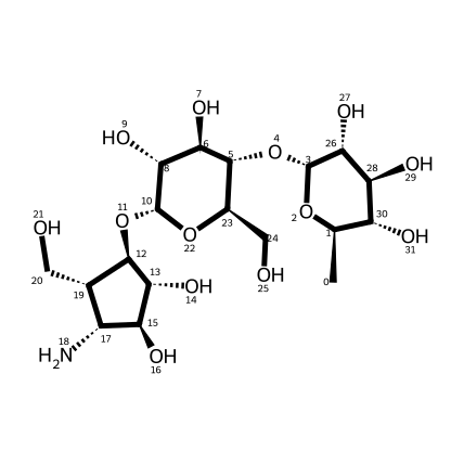 C[C@H]1O[C@H](O[C@H]2[C@H](O)[C@@H](O)[C@@H](O[C@H]3[C@H](O)[C@@H](O)[C@H](N)[C@@H]3CO)O[C@@H]2CO)[C@H](O)[C@@H](O)[C@@H]1O